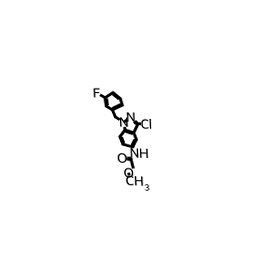 COCC(=O)Nc1ccc2c(c1)c(Cl)nn2Cc1cccc(F)c1